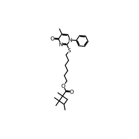 Cc1cn(-c2ccccc2)c(SCCCCCCOC(=O)C2(C)CC(C)C2(C)C)nc1=O